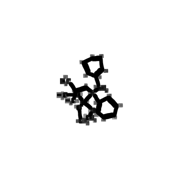 CO[Si](OC)(OC)[Si](C=C(C)C)([SiH2]c1ccccc1)c1ccccc1